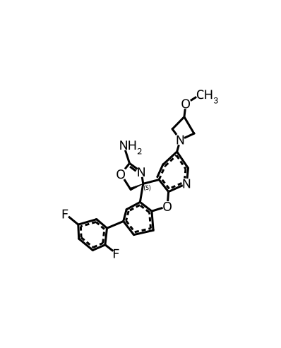 COC1CN(c2cnc3c(c2)[C@]2(COC(N)=N2)c2cc(-c4cc(F)ccc4F)ccc2O3)C1